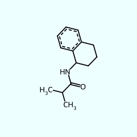 CC(C)C(=O)NC1CCCc2ccccc21